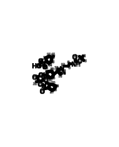 CC(C)(C)OC(=O)NCCCn1cc(-c2ccc(OCC(C)(ON3C(=O)c4ccccc4C3=O)C(=O)O)cc2)cn1.Cc1ccc(S(=O)(=O)O)cc1